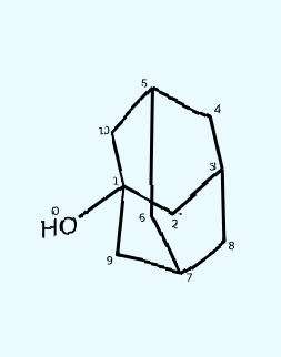 OC12[CH]C3CC(CC(C3)C1)C2